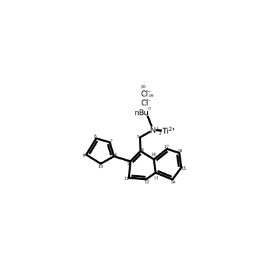 CCCC[N]([Ti+2])Cc1c(C2=CC=CC2)ccc2ccccc12.[Cl-].[Cl-]